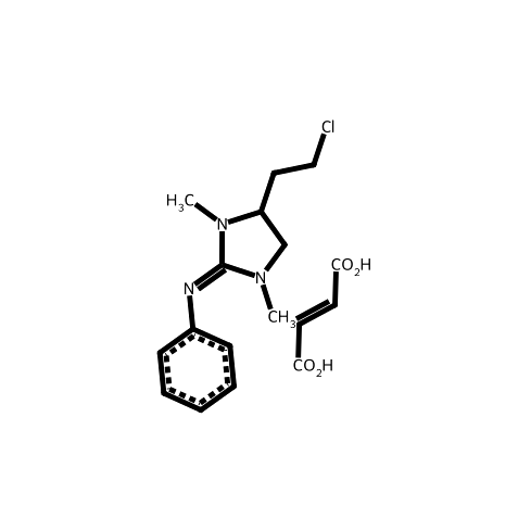 CN1CC(CCCl)N(C)C1=Nc1ccccc1.O=C(O)/C=C/C(=O)O